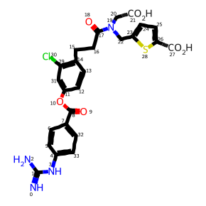 N=C(N)Nc1ccc(C(=O)Oc2ccc(CCC(=O)N(CC(=O)O)Cc3ccc(C(=O)O)s3)c(Cl)c2)cc1